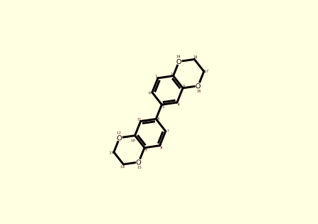 c1cc2c(cc1-c1ccc3c(c1)OCCO3)OCCO2